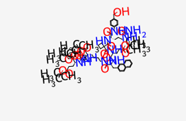 CC(C)(C)OC(=O)CC[C@H](NC(=O)C1(C(=O)N[C@@H](CCCNC(N)=O)C(=O)Nc2ccc(CO)cc2)CCC1)C(=O)N[C@@H](Cc1ccc2ccccc2c1)C(=O)NCCCC[C@H](NC(=O)N[C@@H](CCC(=O)OC(C)(C)C)C(=O)OC(C)(C)C)C(=O)OC(C)(C)C